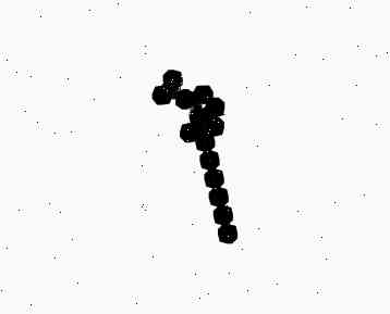 c1ccc(-c2ccc(-c3ccc(-c4ccc(-c5ccc(-c6ccc([Si](c7ccccc7)(c7ccccc7)c7ccc(-n8c9ccccc9c9cc(-n%10c%11ccccc%11c%11ccccc%11%10)ccc98)c8c7sc7ccccc78)cc6)cc5)cc4)cc3)cc2)cc1